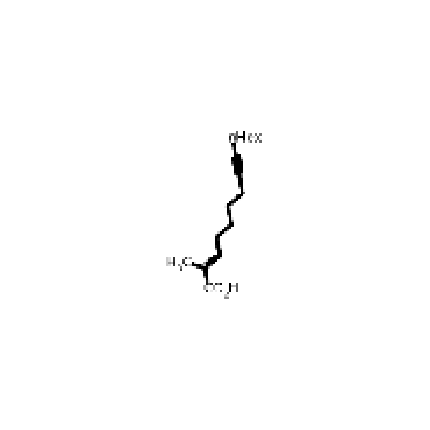 CCCCCCC#CCCCCC=C(C)C(=O)O